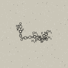 CCc1cc(Nc2ncc(Br)c(Nc3cc(F)c4nc(C)ccc4c3P(C)(C)=O)n2)c(OC)cc1N1CCC(N2CCN(C(=O)[C@@H]3CCN(c4cc(F)c([C@H]5CCC(=O)NC5=O)c(F)c4)C3)CC2)CC1